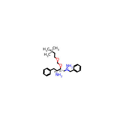 C[Si](C)(C)CCOCO[C@H](CN(N)Cc1ccccc1)[C@H](N)Cc1ccccc1